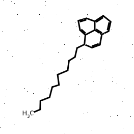 CCCCCCCCCCCC1C=Cc2cccc3cccc1c23